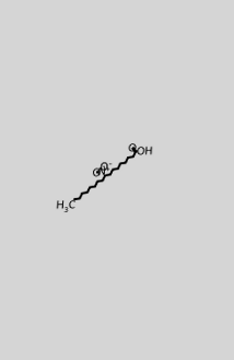 CCCCCCCCCC(CCCCCCCC(=O)O)[N+](=O)[O-]